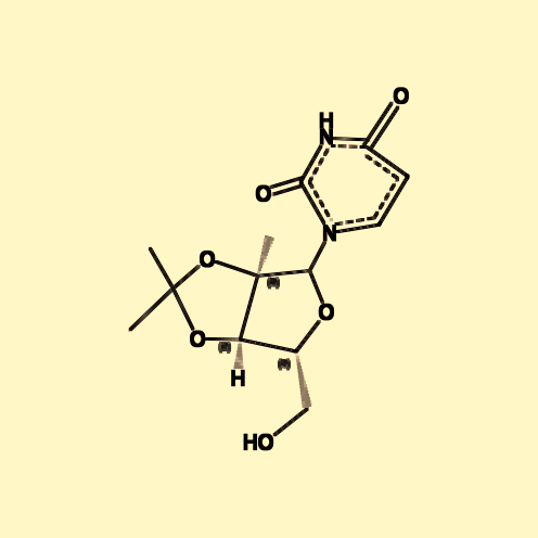 CC1(C)O[C@@H]2[C@@H](CO)OC(n3ccc(=O)[nH]c3=O)[C@]2(C)O1